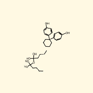 CCCCC(O)(O)OC(O)(O)CCCC.Oc1ccc(C2(c3ccc(O)cc3)CCCCC2)cc1